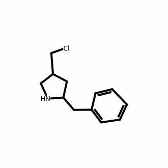 ClCC1CNC(Cc2ccccc2)C1